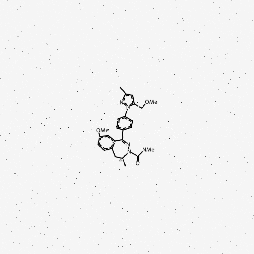 CNC(=O)N1N=C(c2ccc(-n3nc(C)cc3COC)cc2)c2cc(OC)ccc2C[C@@H]1C